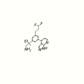 CCC(C)(CN)c1cc(CCC(F)F)cc(-c2ccnc3[nH]ncc23)c1